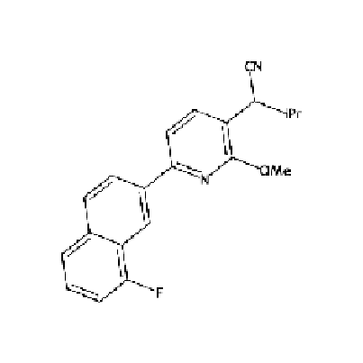 COc1nc(-c2ccc3cccc(F)c3c2)ccc1C(C#N)C(C)C